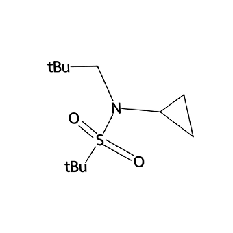 CC(C)(C)CN(C1CC1)S(=O)(=O)C(C)(C)C